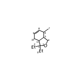 CCC1(CC)OCC2C(C)C=CCC21